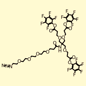 [N-]=[N+]=NCCOCCOCCOCCOCCC(=O)NC(COCCC(=O)Oc1c(F)c(F)c(F)c(F)c1F)(COCCC(=O)Oc1c(F)c(F)c(F)c(F)c1F)COCCC(=O)Oc1c(F)c(F)c(F)c(F)c1F